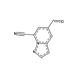 N#Cc1cc(C=O)cc2ccnn12